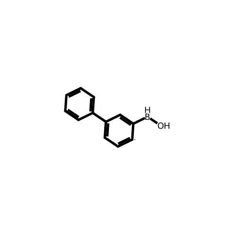 OBc1[c]ccc(-c2ccccc2)c1